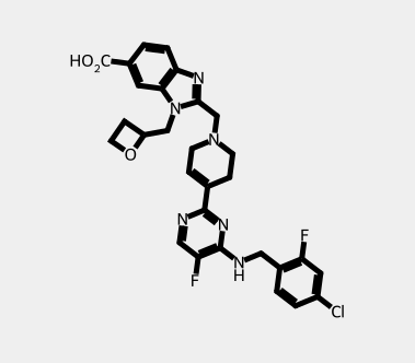 O=C(O)c1ccc2nc(CN3CC=C(c4ncc(F)c(NCc5ccc(Cl)cc5F)n4)CC3)n(CC3CCO3)c2c1